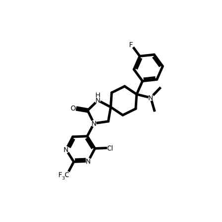 CN(C)C1(c2cccc(F)c2)CCC2(CC1)CN(c1cnc(C(F)(F)F)nc1Cl)C(=O)N2